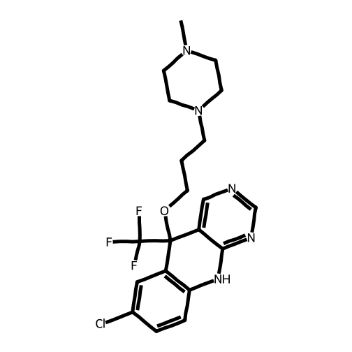 CN1CCN(CCCOC2(C(F)(F)F)c3cc(Cl)ccc3Nc3ncncc32)CC1